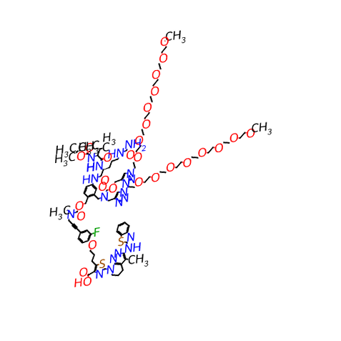 COCCOCCOCCOCCOCCOCCOCCOCCn1cc(COC(=O)N(Cc2cn(CCOCCOCCOCCOCCOCCOCCOCCOC)nn2)Cc2cc(NC(=O)[C@H](CCCNC(N)=O)NC(=O)[C@@H](NC(=O)OC(C)(C)C)C(C)C)ccc2COC(=O)N(C)CC#Cc2ccc(OCCCc3sc(N4CCCc5c4nnc(Nc4nc6ccccc6s4)c5C)nc3C(=O)O)c(F)c2)nn1